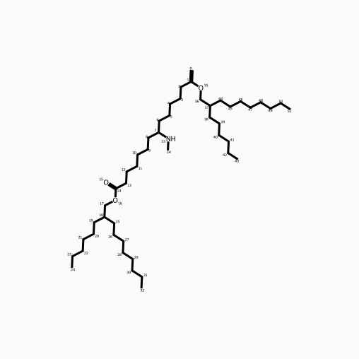 C=C(CCCCCC(CCCCCCC(=O)OCC(CCCCCC)CCCCCCCC)NC)OCC(CCCCCC)CCCCCCCC